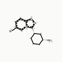 N[C@@H]1CCC[C@H](c2nnc3ccc(Br)cn23)C1